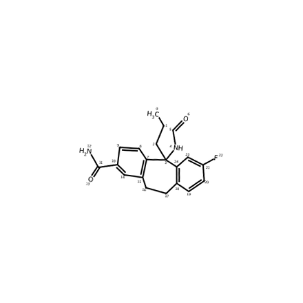 CCCC1(NC=O)c2ccc(C(N)=O)cc2CCc2ccc(F)cc21